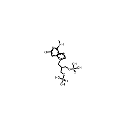 CNc1nc(Cl)nc2c1ncn2CC(COP(=O)(O)O)COP(=O)(O)O